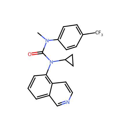 CN(C(=O)N(c1cccc2cnccc12)C1CC1)c1ccc(C(F)(F)F)cc1